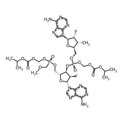 COCP(=O)(OCOC(=O)OC(C)C)OC[C@H]1O[C@@H](n2cnc3c(N)ncnc32)[C@H](F)[C@@H]1OP(=O)(OCOC(=O)OC(C)C)OC[C@H]1O[C@@H](n2cnc3c(N)ncnc32)[C@H](F)[C@@H]1C